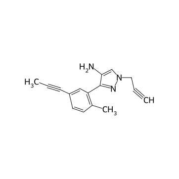 C#CCn1cc(N)c(-c2cc(C#CC)ccc2C)n1